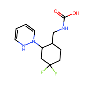 O=C(O)NCC1CCC(F)(F)CC1N1C=CC=CN1